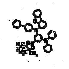 CC1(C)OB(c2cc(N(c3ccccc3)c3ccccc3)cc(N(c3ccc(-c4ccccc4)cc3)c3cccc4c3oc3ccccc34)c2)OC1(C)C